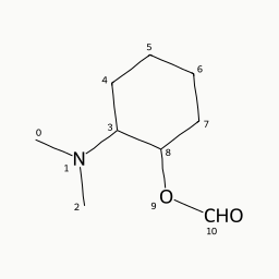 CN(C)C1CCCCC1OC=O